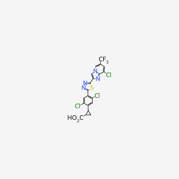 O=C(O)C1CC1c1cc(Cl)c(-c2nnc(-c3cn4cc(C(F)(F)F)cc(Cl)c4n3)s2)cc1Cl